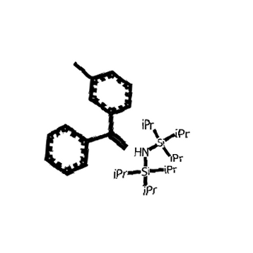 C=C(c1ccccc1)c1cccc(C)c1.CC(C)[Si](N[Si](C(C)C)(C(C)C)C(C)C)(C(C)C)C(C)C